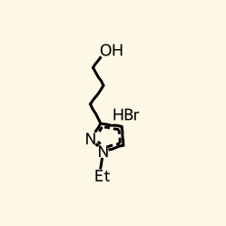 Br.CCn1ccc(CCCO)n1